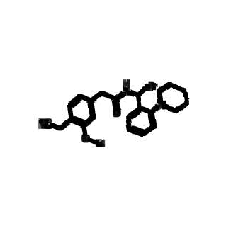 CCCC(NC(=O)Cc1ccc(CC#N)c(OCC)c1)c1ccccc1N1CCCCC1